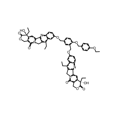 CCOc1ccc(COc2ccc(COc3ccc4nc5c(c(CC)c4c3)Cn3c-5cc4c(c3=O)COC(=O)[C@]4(O)CC)cc2COc2ccc3nc4c(c(CC)c3c2)Cn2c-4cc3c(c2=O)COC(=O)[C@]3(O)CC)cc1